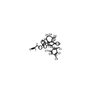 C#CCOC(=O)OC1=C(c2c(C)cc(C)cc2C)C(=O)[C@@]2(C)C(C)CC[C@@H](C)[C@@H]12